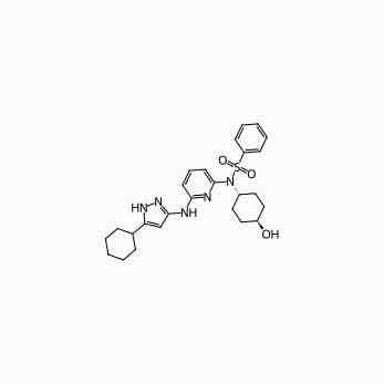 O=S(=O)(c1ccccc1)N(c1cccc(Nc2cc(C3CCCCC3)[nH]n2)n1)[C@H]1CC[C@H](O)CC1